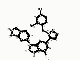 Clc1ccc(Cn2nccc2-c2cc(Cl)c3nnn(-c4ccc5cn[nH]c5c4)c3c2)c(Br)c1